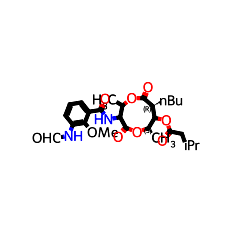 CCCC[C@H]1C(=O)OC(C)C(NC(=O)c2cccc(NC=O)c2OC)C(=O)O[C@@H](C)C1OC(=O)CC(C)C